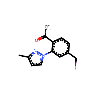 Cc1ccn(-c2cc(CI)ccc2C(=O)C(F)(F)F)n1